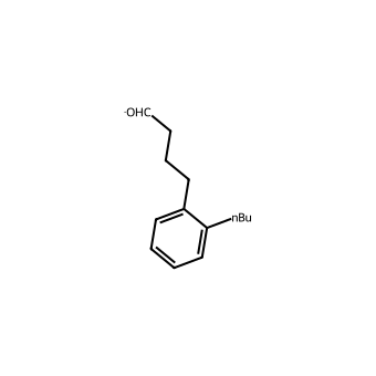 CCCCc1ccccc1CCC[C]=O